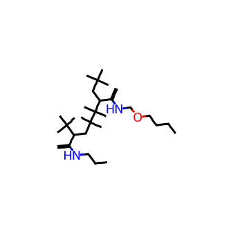 C=C(NCCC)C(CC(C)(C)C(C)(C)C(CC(C)(C)C)C(=C)NCOCCCC)C(C)(C)C